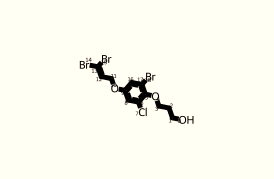 OCCCOc1c(Cl)cc(OCC=C(Br)Br)cc1Br